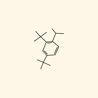 CC(C)c1ccc(C(C)(C)C)cc1C(C)(C)C